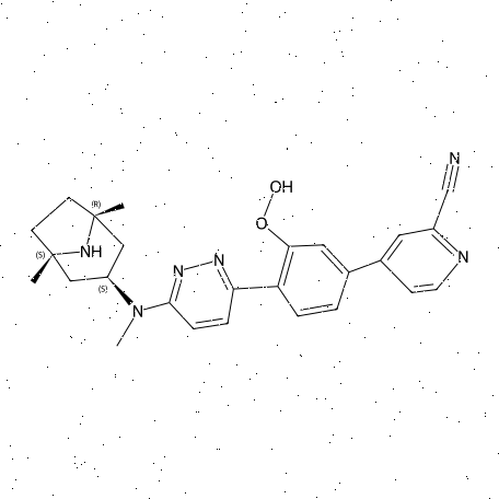 CN(c1ccc(-c2ccc(-c3ccnc(C#N)c3)cc2OO)nn1)[C@H]1C[C@]2(C)CC[C@](C)(C1)N2